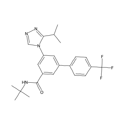 CC(C)c1nncn1-c1cc(C(=O)NC(C)(C)C)cc(-c2ccc(C(F)(F)F)cc2)c1